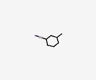 CC1CCC[CH]([Mg][I])C1